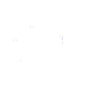 [CH2]CNC(=O)c1ccc(OC)c(OC)c1OC